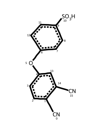 N#Cc1ccc(Oc2ccc(S(=O)(=O)O)cc2)cc1C#N